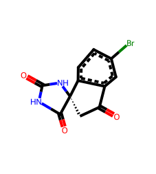 O=C1NC(=O)[C@@]2(CC(=O)c3cc(Br)ccc32)N1